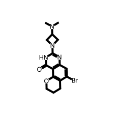 CN(C)C1CN(c2nc3cc(Br)c4c(c3c(=O)[nH]2)OCCC4)C1